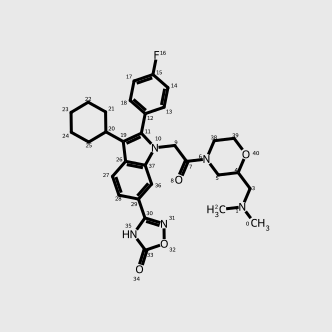 CN(C)CC1CN(C(=O)Cn2c(-c3ccc(F)cc3)c(C3CCCCC3)c3ccc(-c4noc(=O)[nH]4)cc32)CCO1